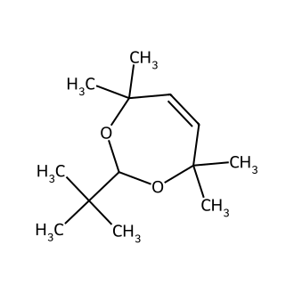 CC1(C)C=CC(C)(C)OC(C(C)(C)C)O1